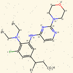 CCC(CC(=O)O)c1cc(F)c(N(CC(C)C)CC(C)C)c(Nc2ccnc(N3CCOCC3)n2)c1